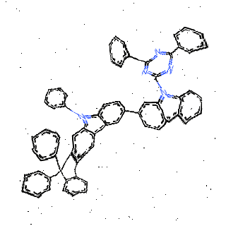 c1ccc(-c2nc(-c3ccccc3)nc(-n3c4ccccc4c4ccc(-c5ccc6c(c5)c5cc7c(cc5n6-c5ccccc5)C(c5ccccc5)(c5ccccc5)c5ccccc5-7)cc43)n2)cc1